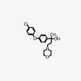 CC(O)(CCN1CCOCC1)c1ccc(Oc2ccc(Cl)cc2)cc1